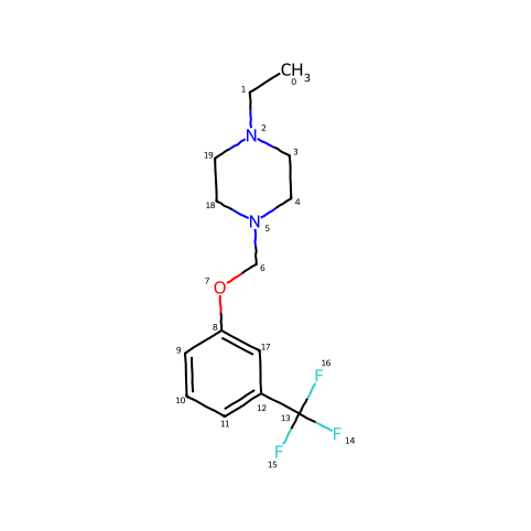 CCN1CCN(COc2cccc(C(F)(F)F)c2)CC1